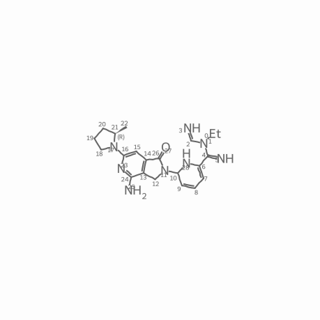 CCN(C=N)C(=N)C1=CC=CC(N2Cc3c(cc(N4CCC[C@H]4C)nc3N)C2=O)N1